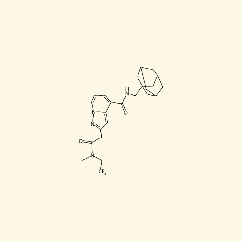 CN(CC(F)(F)F)C(=O)Cc1cc2c(C(=O)NCC34CC5CC(CC(C5)C3)C4)cccn2n1